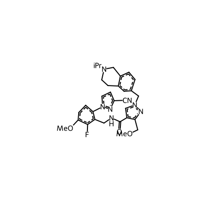 COCc1nn(Cc2ccc3c(c2)CCN(C(C)C)C3)cc1C(=O)NCc1c(-n2ccc(C#N)n2)ccc(OC)c1F